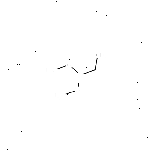 CC[SiH](OC)OC